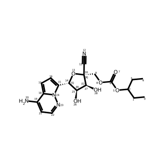 CCC(CC)OC(=O)OC[C@@]1(C#N)O[C@@H](c2ccc3c(N)ccnn23)[C@H](O)[C@@H]1O